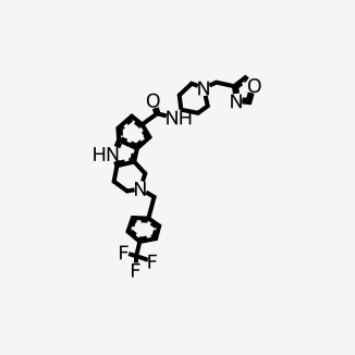 O=C(NC1CCN(Cc2cocn2)CC1)c1ccc2[nH]c3c(c2c1)CN(Cc1ccc(C(F)(F)F)cc1)CC3